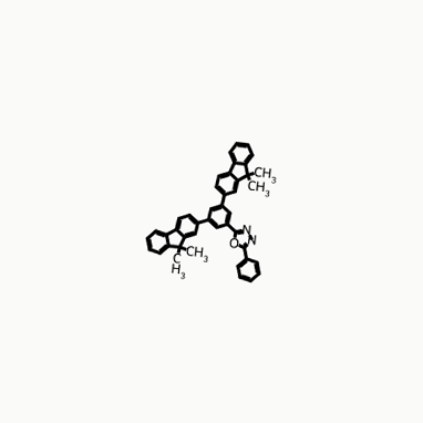 CC1(C)c2ccccc2-c2ccc(-c3cc(-c4ccc5c(c4)C(C)(C)c4ccccc4-5)cc(-c4nnc(-c5ccccc5)o4)c3)cc21